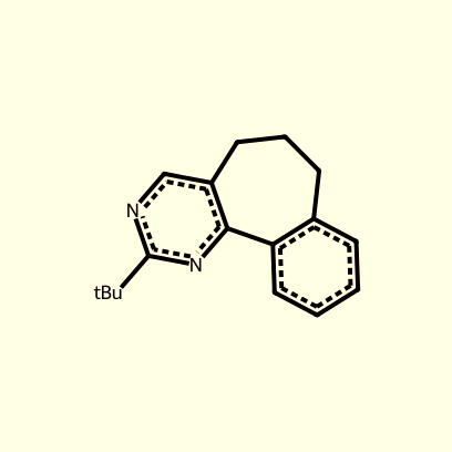 CC(C)(C)c1ncc2c(n1)-c1ccccc1CCC2